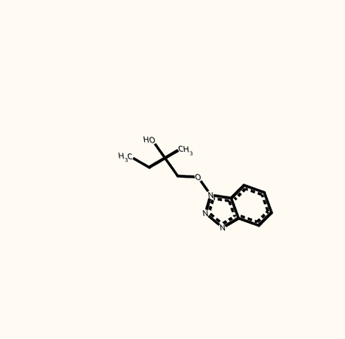 CCC(C)(O)COn1nnc2ccccc21